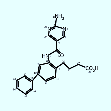 Nc1ncc(C(=O)Nc2cc(-c3ccccc3)ccc2CCCC(=O)O)cn1